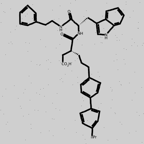 CCCc1ccc(-c2ccc(CCC[C@H](CC(=O)O)C(=O)N[C@@H](Cc3c[nH]c4ccccc34)C(=O)NCCc3ccccc3)cc2)cc1